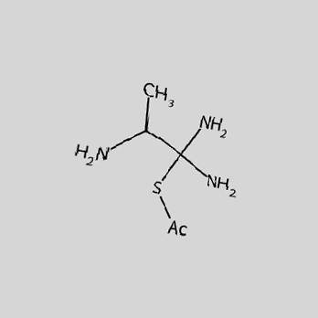 CC(=O)SC(N)(N)C(C)N